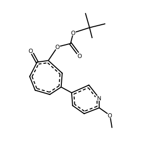 COc1ccc(-c2cccc(=O)c(OC(=O)OC(C)(C)C)c2)cn1